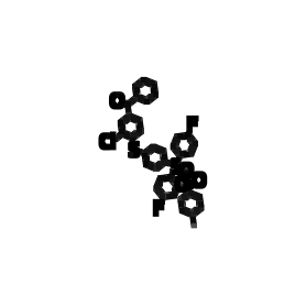 Cc1ccc(S(=O)(=O)OS(c2ccc(F)cc2)(c2ccc(F)cc2)c2ccc(Sc3ccc(C(=O)c4ccccc4)cc3Cl)cc2)cc1